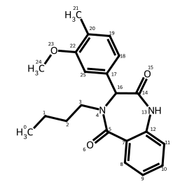 CCCCN1C(=O)c2ccccc2NC(=O)C1c1ccc(C)c(OC)c1